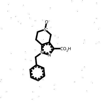 O=C(O)c1nn(Cc2ccccc2)c2c1C[S+]([O-])CC2